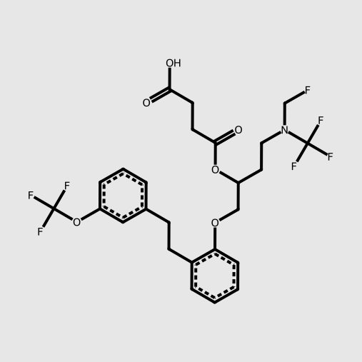 O=C(O)CCC(=O)OC(CCN(CF)C(F)(F)F)COc1ccccc1CCc1cccc(OC(F)(F)F)c1